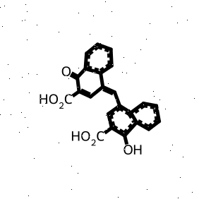 O=C(O)C1=CC(=Cc2cc(C(=O)O)c(O)c3ccccc23)c2ccccc2C1=O